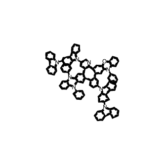 c1ccc(-n2c3ccccc3oc3cc4c(cc32)c2cc(-n3c5ccccc5c5cc(-n6c7ccccc7c7ccccc76)ccc53)ccc2c2cc3c(cc2c2cc(-n5c6ccccc6c6cc(-n7c8ccccc8c8ccccc87)ccc65)cnc24)n(-c2ccccc2)c2ccccc2n3-c2ccccc2)cc1